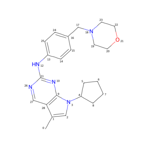 Cc1cn(C2CCCC2)c2nc(Nc3ccc(CN4CCOCC4)cc3)ncc12